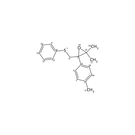 Cc1ccc(C2(CSc3ccccc3)OC2(C)C)cc1